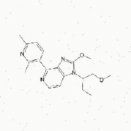 CCC(COC)n1c(OC)nc2c(-c3ccc(C)nc3C)nccc21